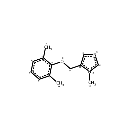 Cc1cccc(C)c1OCc1cncn1C